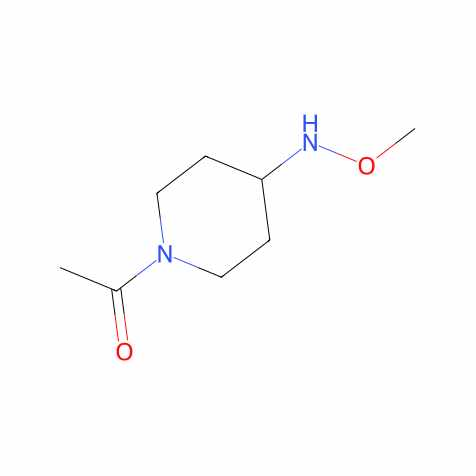 CONC1CCN(C(C)=O)CC1